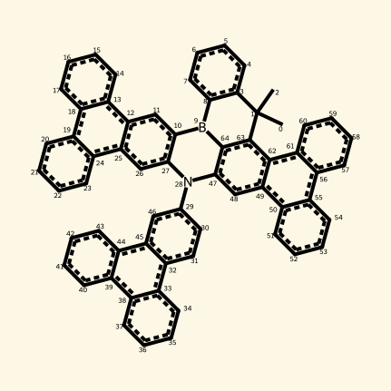 CC1(C)c2ccccc2B2c3cc4c5ccccc5c5ccccc5c4cc3N(c3ccc4c5ccccc5c5ccccc5c4c3)c3cc4c5ccccc5c5ccccc5c4c1c32